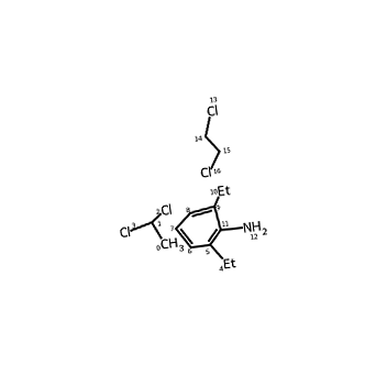 CC(Cl)Cl.CCc1cccc(CC)c1N.ClCCCl